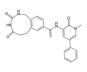 C=C(Nc1cc(-c2ccccc2)cn(C)c1=O)c1ccc2c(c1)CCC(=O)NC(=O)NC2